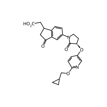 O=C(O)CC1CC(=O)c2cc(N3CC[C@@H](Oc4ccc(OCC5CC5)nc4)C3=O)ccc21